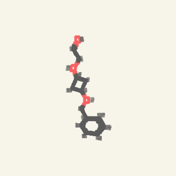 O=CCOC1CC(OCc2ccccc2)C1